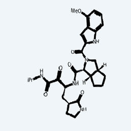 COc1cccc2[nH]c(C(=O)N3C[C@@H]4CCC[C@@H]4[C@H]3C(=O)N[C@@H](C[C@@H]3CCNC3=O)C(=O)C(=O)NC(C)C)cc12